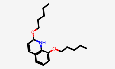 CCCCCOc1cccc2c1NC(OCCCCC)C=C2